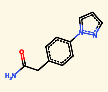 NC(=O)Cc1ccc(-n2cccn2)cc1